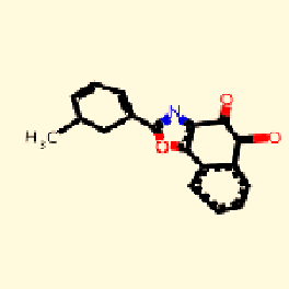 CC1C=CC=C(c2nc3c(o2)-c2ccccc2C(=O)C3=O)C1